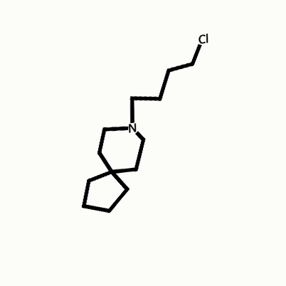 ClCCCCN1CCC2(CCCC2)CC1